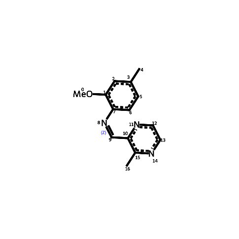 COc1cc(C)ccc1/N=C\c1nccnc1C